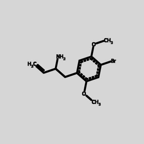 C=CC(N)Cc1cc(OC)c(Br)cc1OC